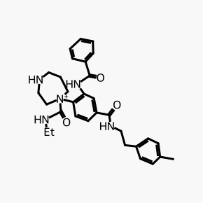 CCNC(=O)[N+]1(c2ccc(C(=O)NCCc3ccc(C)cc3)cc2NC(=O)c2ccccc2)CCCNCC1